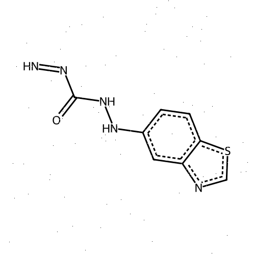 N=NC(=O)NNc1ccc2scnc2c1